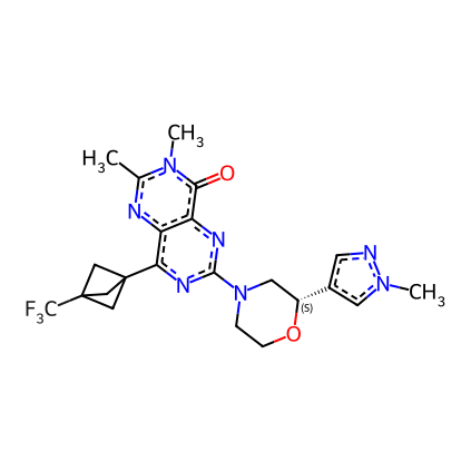 Cc1nc2c(C34CC(C(F)(F)F)(C3)C4)nc(N3CCO[C@@H](c4cnn(C)c4)C3)nc2c(=O)n1C